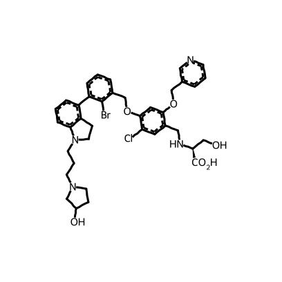 O=C(O)[C@H](CO)NCc1cc(Cl)c(OCc2cccc(-c3cccc4c3CCN4CCCN3CCC(O)C3)c2Br)cc1OCc1cccnc1